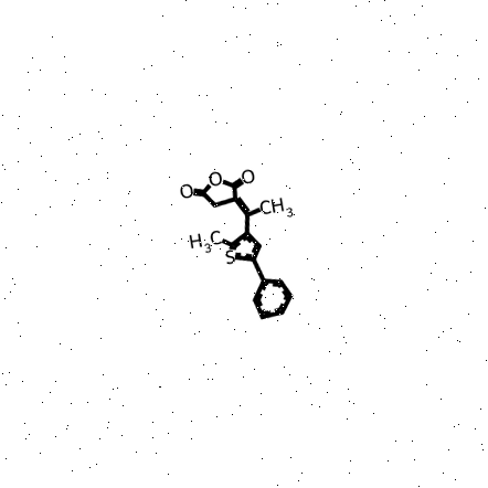 CC(=C1CC(=O)OC1=O)c1cc(-c2ccccc2)sc1C